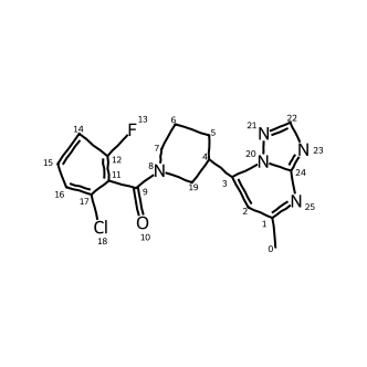 Cc1cc(C2CCCN(C(=O)c3c(F)cccc3Cl)C2)n2ncnc2n1